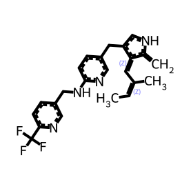 C=c1[nH]cc(Cc2ccc(NCc3ccc(C(F)(F)F)nc3)nc2)/c1=C/C(C)=C\C